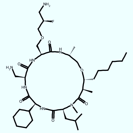 CCCCCC[C@H]1OC[C@@H](C)NC(=O)[C@H](COC[C@H](F)CN)NC(=O)[C@H](CN)NC(=O)[C@H](C2CCCCC2)NC(=O)[C@H](CC(C)C)N(C)C(=O)[C@@H]1C